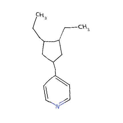 CCC1CC(c2ccncc2)CC1CC